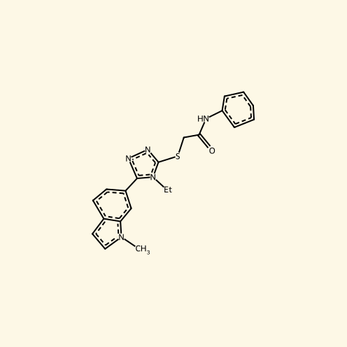 CCn1c(SCC(=O)Nc2ccccc2)nnc1-c1ccc2ccn(C)c2c1